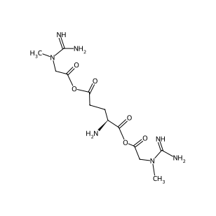 CN(CC(=O)OC(=O)CC[C@H](N)C(=O)OC(=O)CN(C)C(=N)N)C(=N)N